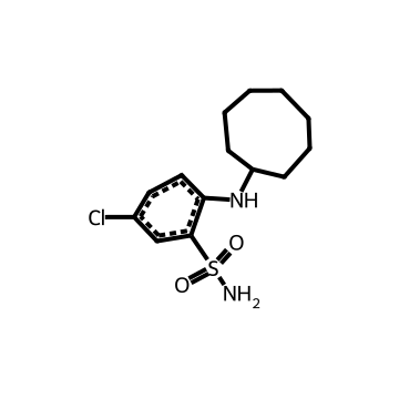 NS(=O)(=O)c1cc(Cl)ccc1NC1CCCCCCC1